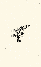 CCCOc1ncc(S(=O)(=O)N2CCN(CC)CC2)cc1-c1nc2c(CCC)n(Cc3cccnn3)nc2c(=O)[nH]1